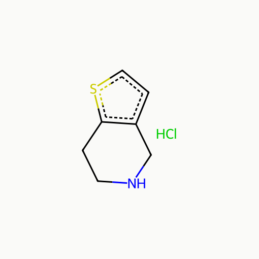 Cl.c1cc2c(s1)CCNC2